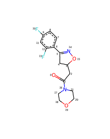 O=C(CC1CC(c2ccc(F)cc2F)=NO1)N1CCOCC1